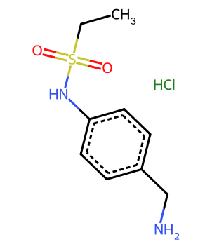 CCS(=O)(=O)Nc1ccc(CN)cc1.Cl